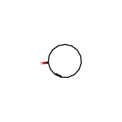 O=C1C/C=C\CCCCCCCCCCC1